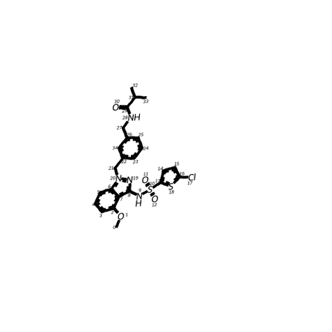 COc1cccc2c1c(NS(=O)(=O)c1ccc(Cl)s1)nn2Cc1cccc(CNC(=O)C(C)C)c1